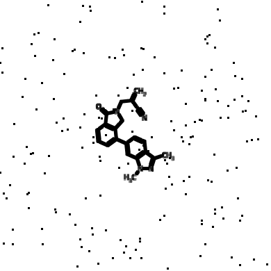 C=C(C#N)CN1Cc2c(cccc2-c2ccc3c(C)nn(C)c3c2)C1=O